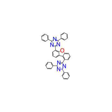 c1ccc(-c2nc(-c3ccccc3)nc(-c3cccc4c3oc3cccc(-c5nc(-c6ccccc6)nc(-c6ccccc6)n5)c34)n2)cc1